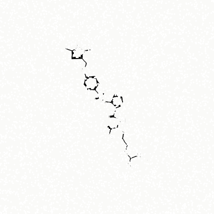 Cc1cc(CNc2ccc(S(=O)(=O)Nc3ccsc3C(=O)N[C@@H](CCCNC(N)N)C(=O)O)cc2)n(C)n1